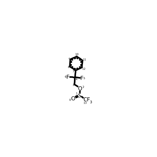 O=S(OCC(F)(F)c1ccccc1)C(F)(F)F